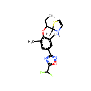 CCC(Oc1c(C)cc(-c2noc(C(F)F)n2)cc1C)C1(C)NC=CS1